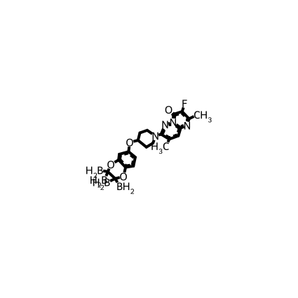 BC1(B)Oc2ccc(OC3CCN(c4nn5c(=O)c(F)c(C)nc5cc4C)CC3)cc2OC1(B)B